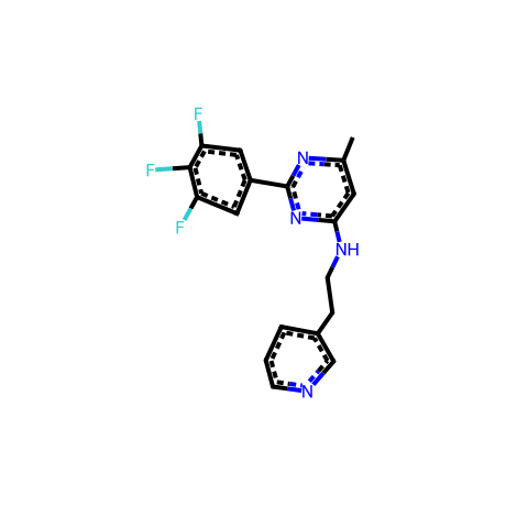 Cc1cc(NCCc2cccnc2)nc(-c2cc(F)c(F)c(F)c2)n1